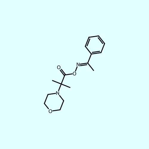 C/C(=N\OC(=O)C(C)(C)N1CCOCC1)c1ccccc1